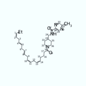 CC/C=C\CC=CCC=CC/C=C\C/C=C\CCCC(=O)N1CCC(CNC(=O)c2cnc(C)cn2)CC1